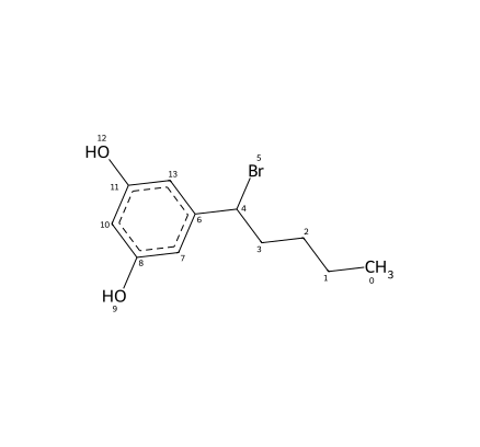 CCCCC(Br)c1cc(O)cc(O)c1